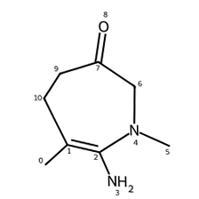 CC1=C(N)N(C)CC(=O)CC1